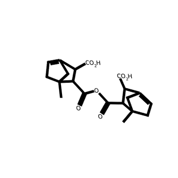 CC12CC=C(C1)C(C(=O)O)C2C(=O)OC(=O)C1C(C(=O)O)C2=CCC1(C)C2